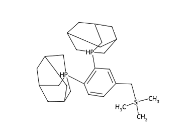 C[Si](C)(C)Cc1ccc([PH]23CC4CC(CC(C4)C2)C3)c([PH]23CC4CC(CC(C4)C2)C3)c1